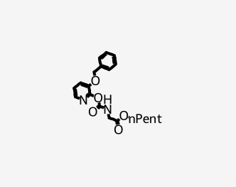 CCCCCOC(=O)CNC(=O)Oc1ncccc1OCc1ccccc1